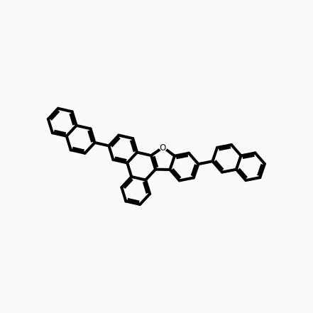 c1ccc2cc(-c3ccc4c(c3)oc3c5ccc(-c6ccc7ccccc7c6)cc5c5ccccc5c43)ccc2c1